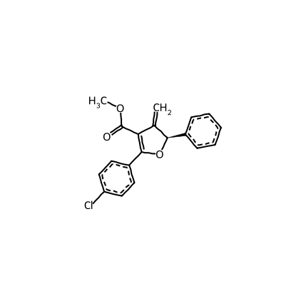 C=C1C(C(=O)OC)=C(c2ccc(Cl)cc2)O[C@@H]1c1ccccc1